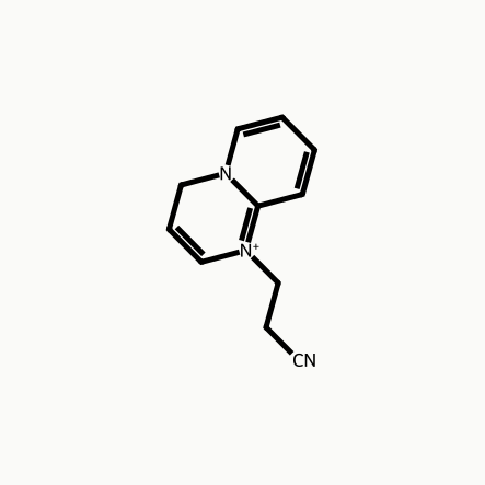 N#CCC[N+]1=C2C=CC=CN2CC=C1